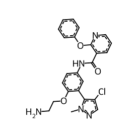 Cn1ncc(Cl)c1-c1cc(NC(=O)c2cccnc2Oc2ccccc2)ccc1OCCN